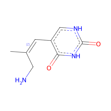 C/C(=C/c1c[nH]c(=O)[nH]c1=O)CN